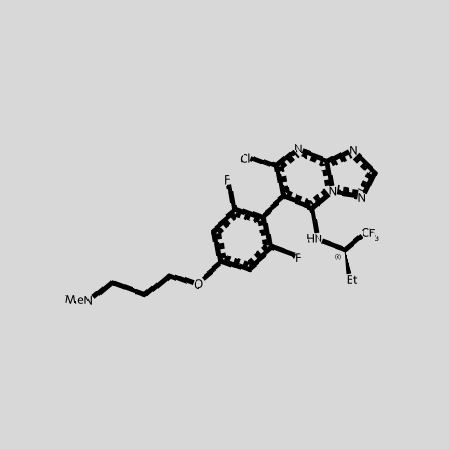 CC[C@@H](Nc1c(-c2c(F)cc(OCCCNC)cc2F)c(Cl)nc2ncnn12)C(F)(F)F